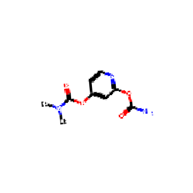 CCN(CC)C(=O)Oc1ccnc(OC(N)=O)c1